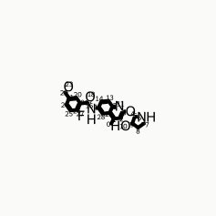 Cc1cc(OC2NCCC2O)nc2ccc(NC(=O)c3cc(C=O)ccc3F)cc12